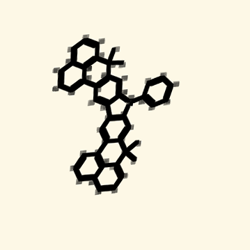 CC1(C)c2cc3c(cc2-c2cccc4cccc1c24)c1cc2c(cc1n3-c1ccccc1)C(C)(C)c1cccc3cccc-2c13